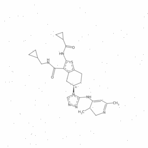 CC1=NCC(C)C(Nc2nncn2[C@@H]2CCc3sc(NC(=O)C4CC4)c(C(=O)NCC4CC4)c3C2)=C1